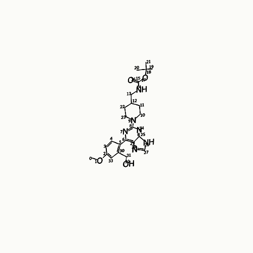 COc1ccc(-c2nc(N3CCC(CNC(=O)OC(C)(C)C)CC3)nc3[nH]cnc23)c(CO)c1